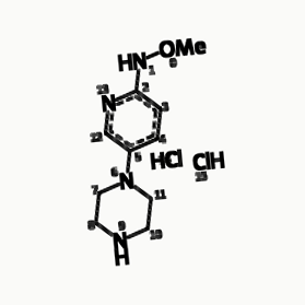 CONc1ccc(N2CCNCC2)cn1.Cl.Cl